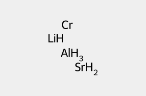 [AlH3].[Cr].[LiH].[SrH2]